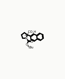 CC(C)(C)OC(=O)N1CCC[C@@]1(C(=O)O)c1ccc2ccccc2c1